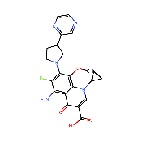 COc1c(N2CCC(c3cnccn3)C2)c(F)c(N)c2c(=O)c(C(=O)O)cn(C3CC3)c12